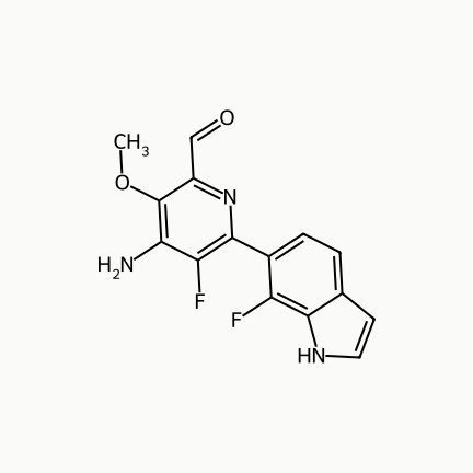 COc1c(C=O)nc(-c2ccc3cc[nH]c3c2F)c(F)c1N